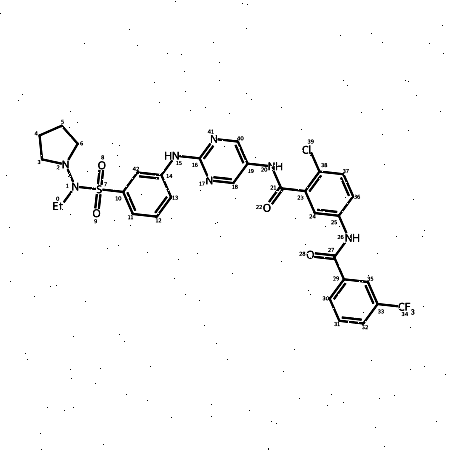 CCN(N1CCCC1)S(=O)(=O)c1cccc(Nc2ncc(NC(=O)c3cc(NC(=O)c4cccc(C(F)(F)F)c4)ccc3Cl)cn2)c1